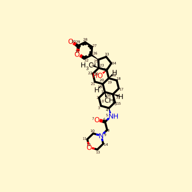 C[C@]12CC[C@H](NC(=O)CN3CCOCC3)C[C@H]1CC[C@@H]1[C@@H]2CC[C@]2(C)[C@@H](c3ccc(=O)oc3)CC[C@]12O